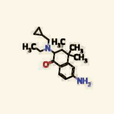 CCN(CC1CC1)C1C(=O)c2ccc(N)cc2C(C)(C)[C@H]1C